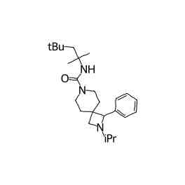 CC(C)N1CC2(CCN(C(=O)NC(C)(C)CC(C)(C)C)CC2)C1c1ccccc1